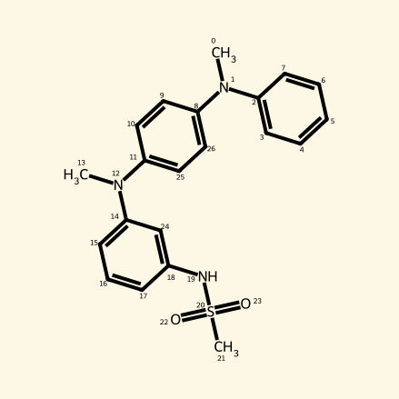 CN(c1ccccc1)c1ccc(N(C)c2cccc(NS(C)(=O)=O)c2)cc1